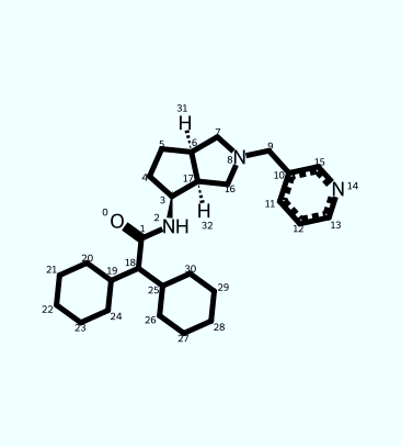 O=C(N[C@H]1CC[C@H]2CN(Cc3cccnc3)C[C@H]21)C(C1CCCCC1)C1CCCCC1